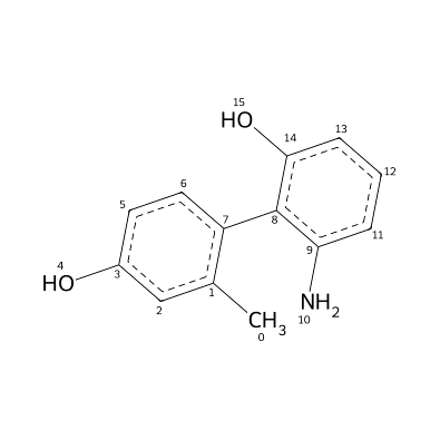 Cc1cc(O)ccc1-c1c(N)cccc1O